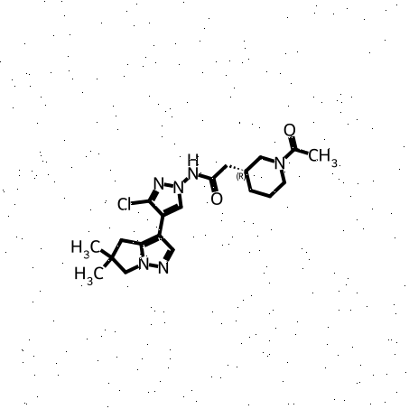 CC(=O)N1CCC[C@H](CC(=O)Nn2cc(-c3cnn4c3CC(C)(C)C4)c(Cl)n2)C1